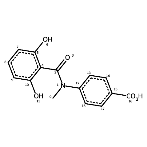 CN(C(=O)c1c(O)cccc1O)c1ccc(C(=O)O)cc1